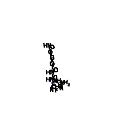 CNC(=O)CCOCCOCCOCCC(=O)NCCC(=O)N/C(N)=C/c1cc(-c2cncc(N)c2C)c(F)c2c1C=N2